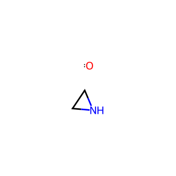 C1CN1.[O]